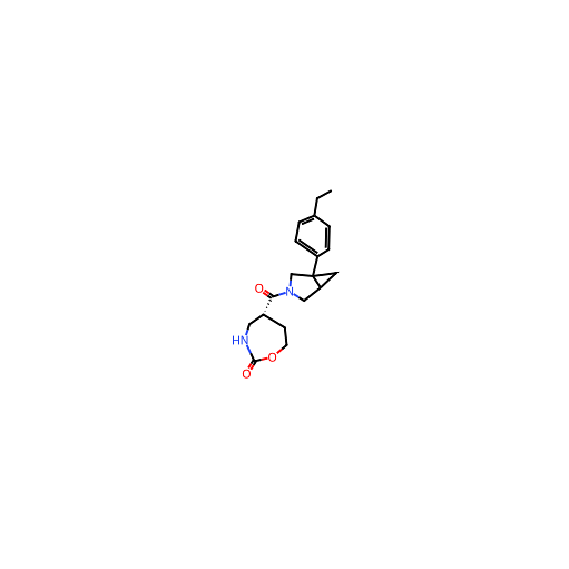 CCc1ccc(C23CC2CN(C(=O)[C@@H]2CCOC(=O)NC2)C3)cc1